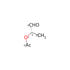 CC(=O)O[C@@H](C)C=O